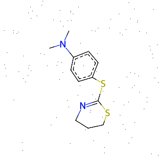 CN(C)c1ccc(SC2=NCCCS2)cc1